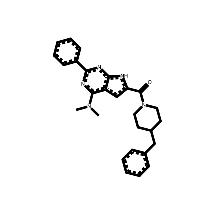 CN(C)c1nc(-c2ccccc2)nc2[nH]c(C(=O)N3CCC(Cc4ccccc4)CC3)cc12